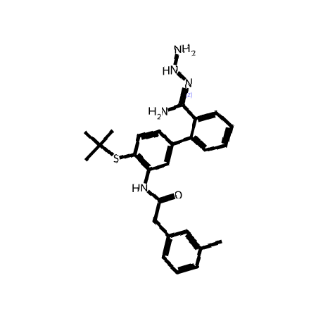 Cc1cccc(CC(=O)Nc2cc(-c3ccccc3/C(N)=N/NN)ccc2SC(C)(C)C)c1